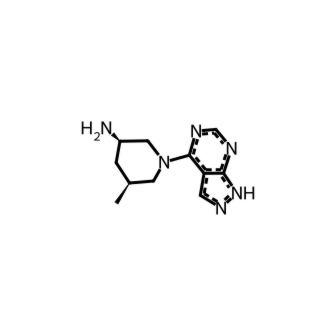 C[C@H]1C[C@@H](N)CN(c2ncnc3[nH]ncc23)C1